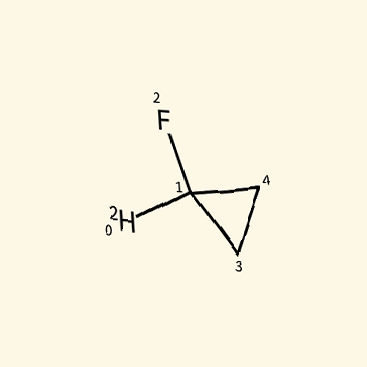 [2H]C1(F)CC1